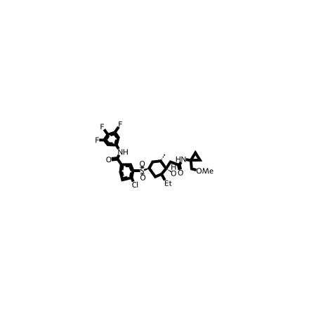 CCC1C[C@@H](S(=O)(=O)c2cc(C(=O)Nc3cc(F)c(F)c(F)c3)ccc2Cl)C[C@H](C)[C@@]1(O)CC(=O)NC1(COC)CC1